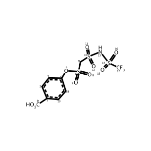 O=C(O)c1ccc(OS(=O)(=O)CS(=O)(=O)NS(=O)(=O)C(F)(F)F)cc1